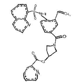 C=Cc1cc(C(=O)N2CC(OC(=O)c3ccccn3)C2)ccc1NS(=O)(=O)c1cccc2cccnc12